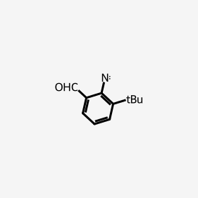 CC(C)(C)c1cccc(C=O)c1[N]